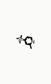 Cc1c[c]([Sn]([CH3])([CH3])[CH3])ccn1